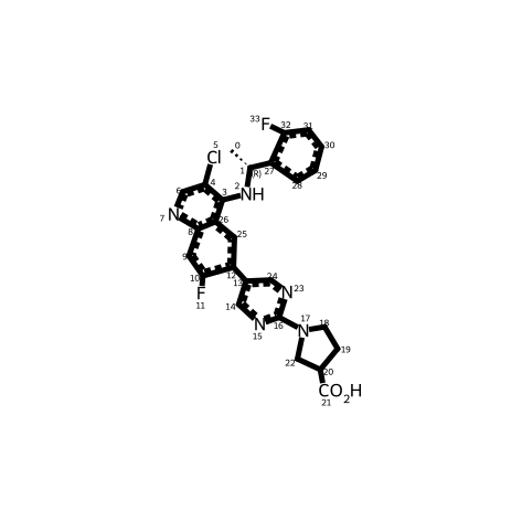 C[C@@H](Nc1c(Cl)cnc2cc(F)c(-c3cnc(N4CCC(C(=O)O)C4)nc3)cc12)c1ccccc1F